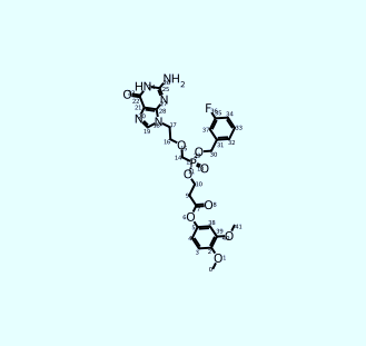 COc1ccc(OC(=O)CCOP(=O)(COCCn2cnc3c(=O)[nH]c(N)nc32)OCc2cccc(F)c2)cc1OC